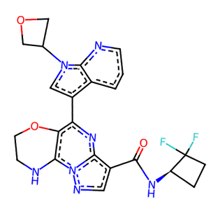 O=C(N[C@@H]1CCC1(F)F)c1cnn2c3c(c(-c4cn(C5COC5)c5ncccc45)nc12)OCCN3